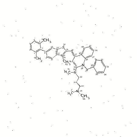 Cc1cccc(C)c1-c1ccc2c(c1)sc(C=C1C=C(N(C)CCCN(C)C)N(Cc3ccccc3)c3ccccc31)[n+]2C